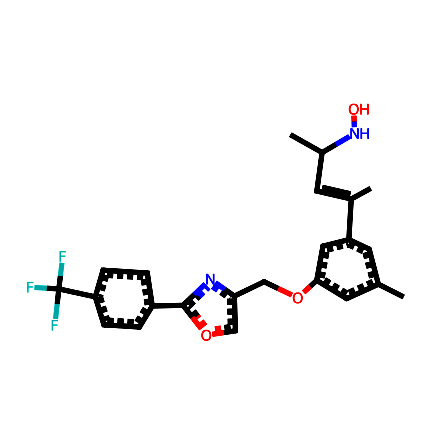 C/C(=C\C(C)NO)c1cc(C)cc(OCc2coc(-c3ccc(C(F)(F)F)cc3)n2)c1